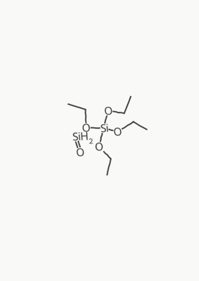 CCO[Si](OCC)(OCC)OCC.O=[SiH2]